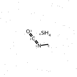 CN=C=O.[SiH4]